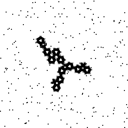 CC1(C)c2ccccc2-c2ccc(-c3ccc4c(c3)c3cc(-c5ccc6c(c5)C(C)(C)c5ccccc5-6)ccc3n4-c3ccc(-c4ccccc4-c4ccccc4-c4ccc(-c5nc6ccccc6o5)cc4)cc3)cc21